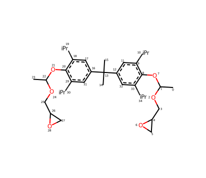 CC(OCC1CO1)Oc1c(C(C)C)cc(C(C)(C)c2cc(C(C)C)c(OC(C)OCC3CO3)c(C(C)C)c2)cc1C(C)C